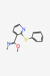 CN=C(OC)c1cccnc1Sc1ccccc1